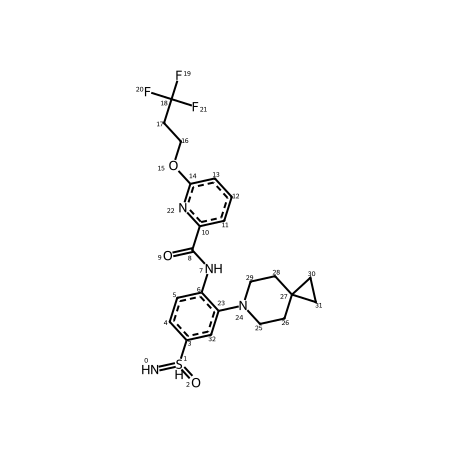 N=[SH](=O)c1ccc(NC(=O)c2cccc(OCCC(F)(F)F)n2)c(N2CCC3(CC2)CC3)c1